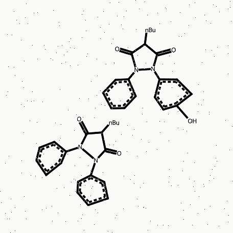 CCCCC1C(=O)N(c2ccccc2)N(c2ccc(O)cc2)C1=O.CCCCC1C(=O)N(c2ccccc2)N(c2ccccc2)C1=O